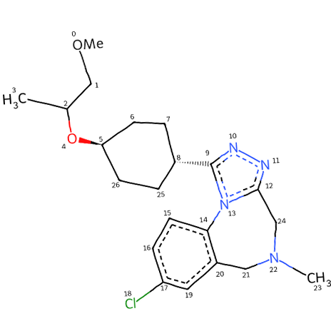 COCC(C)O[C@H]1CC[C@H](c2nnc3n2-c2ccc(Cl)cc2CN(C)C3)CC1